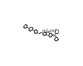 CC1(C)c2cc(/C=C/c3ccc(-c4ccc(-c5ccccc5)cc4)cc3)ccc2-c2ccc(N(C3=CCCC=C3)c3ccccc3)cc21